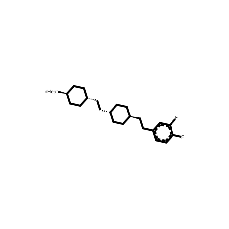 CCCCCCC[C@H]1CC[C@H](CC[C@H]2CC[C@H](CCc3ccc(F)c(F)c3)CC2)CC1